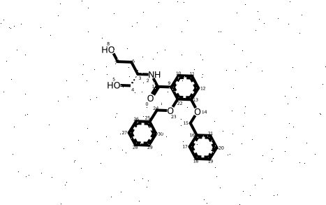 O=C(N[C@H](CO)CCO)c1cccc(OCc2ccccc2)c1OCc1ccccc1